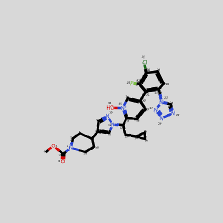 COC(=O)N1CCC(c2cnn(C(CC3CC3)c3ccc(-c4c(-n5cnnn5)ccc(Cl)c4F)c[n+]3O)c2)CC1